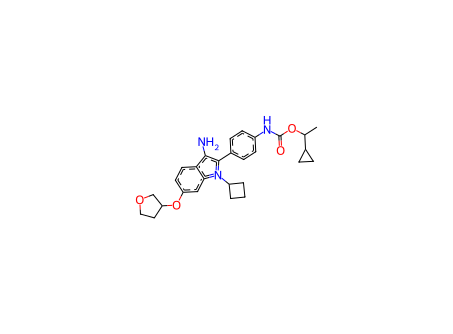 CC(OC(=O)Nc1ccc(-c2c(N)c3ccc(OC4CCOC4)cc3n2C2CCC2)cc1)C1CC1